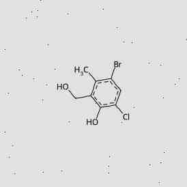 Cc1c(Br)cc(Cl)c(O)c1CO